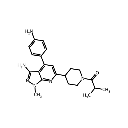 CC(C)C(=O)N1CCC(c2cc(-c3ccc(N)cc3)c3c(N)nn(C)c3n2)CC1